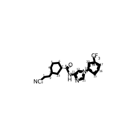 N#CCCC1CCC[C@H](C(=O)Nc2cn(-c3cccc(C(F)(F)F)c3)cn2)C1